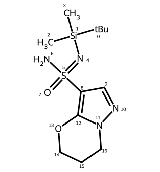 CC(C)(C)[Si](C)(C)N=S(N)(=O)c1cnn2c1OCCC2